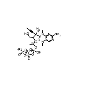 C=Nc1cnc(N)nc1N(C)[C@@H]1O[C@H]([C@H](C)OP(=O)(O)OP(=O)(O)OP(=O)(O)O)C(CO)C1(N)C#CC